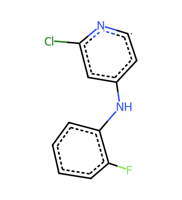 Fc1ccccc1Nc1c[c]nc(Cl)c1